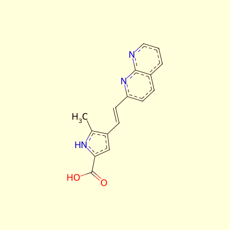 Cc1[nH]c(C(=O)O)cc1/C=C/c1ccc2cccnc2n1